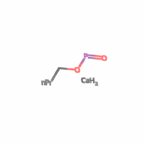 CCCCOP=O.[CaH2]